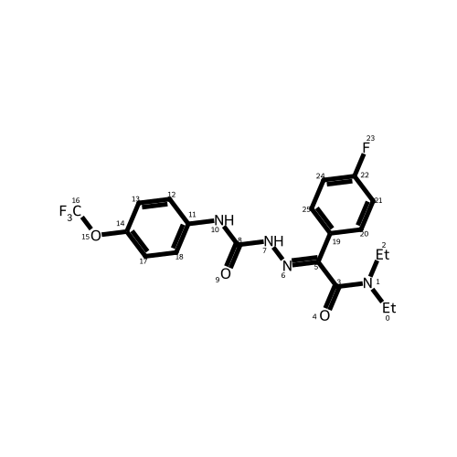 CCN(CC)C(=O)C(=NNC(=O)Nc1ccc(OC(F)(F)F)cc1)c1ccc(F)cc1